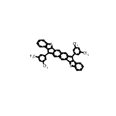 FC(F)(F)c1cc(C2=c3cc4cc5c(cc4cc3-c3sc4ccccc4c32)=C(c2cc(C(F)(F)F)cc(C(F)(F)F)c2)c2c-5sc3ccccc23)cc(C(F)(F)F)c1